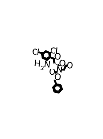 Nc1cc(Cl)cc(Cl)c1C(=O)C[C@@H]1OC(=O)CN1C(=O)OCc1ccccc1